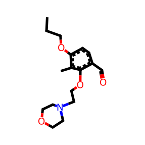 CCCOc1ccc(C=O)c(OCCN2CCOCC2)c1C